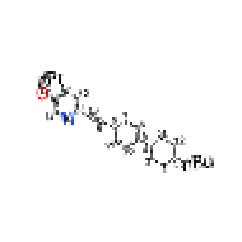 CCCCC1CCC(c2ccc(C#Cc3ccc(OCCC)cn3)cc2)CC1